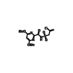 C=C(Cl)CS(=O)(=O)NC(=O)c1nc(OC)cc(OC)n1